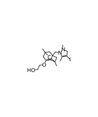 CC1=C(I)CN(C)N1CC12CC3(C)CC(OCCO)=C1C(C)(C3)C2